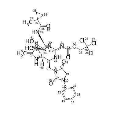 C=C1N[C@H]2[C@H](CN3C(=O)CN(c4ccccc4)C3=O)N/C(=N\C(=O)OCC(Cl)(Cl)Cl)N3C[C@H](NC(=O)C4(C)CC4)C(O)(O)[C@]23N1